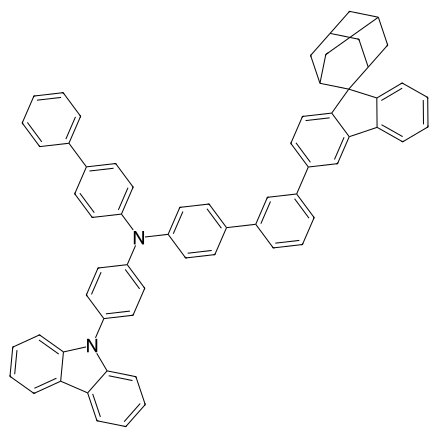 c1ccc(-c2ccc(N(c3ccc(-c4cccc(-c5ccc6c(c5)-c5ccccc5C65C6CC7CC(C6)CC5C7)c4)cc3)c3ccc(-n4c5ccccc5c5ccccc54)cc3)cc2)cc1